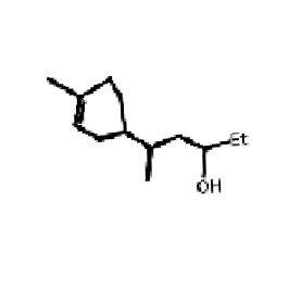 CCC(O)CC(C)C1CC=C(C)CC1